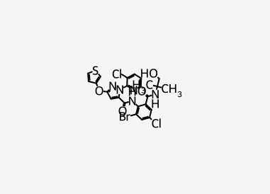 CC(C)(CO)NC(=O)c1cc(Cl)cc(Br)c1NC(=O)c1cc(Oc2ccsc2)nn1-c1ncccc1Cl